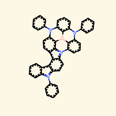 c1ccc(N2c3cccc4c3B3c5c2cccc5-n2c5ccc6c(c7ccccc7n6-c6ccccc6)c5c5ccc(c3c52)N4c2ccccc2)cc1